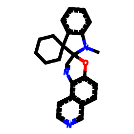 CN1c2ccccc2C2(CCCCC2)C12C=Nc1c(ccc3cnccc13)O2